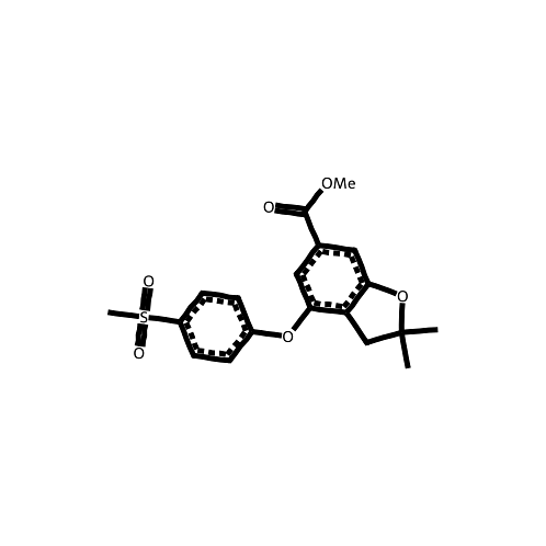 COC(=O)c1cc(Oc2ccc(S(C)(=O)=O)cc2)c2c(c1)OC(C)(C)C2